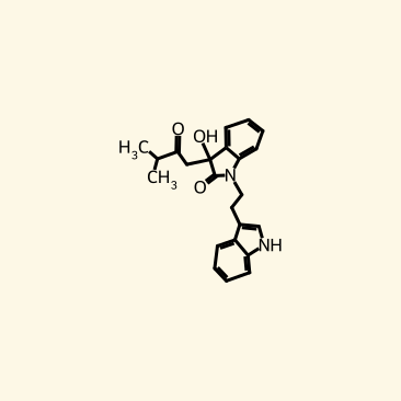 CC(C)C(=O)CC1(O)C(=O)N(CCc2c[nH]c3ccccc23)c2ccccc21